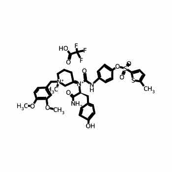 COc1ccc(C[N+]2(C)CCC/C(=[N+](\C(=O)Nc3ccc(OS(=O)(=O)c4ccc(C)s4)cc3)[C@@H](Cc3ccc(O)cc3)C(N)=O)C2)cc1OC.O=C(O)C(F)(F)F